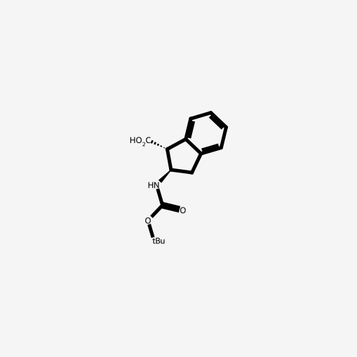 CC(C)(C)OC(=O)N[C@@H]1Cc2ccccc2[C@H]1C(=O)O